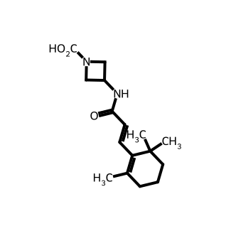 CC1=C(C=CC(=O)NC2CN(C(=O)O)C2)C(C)(C)CCC1